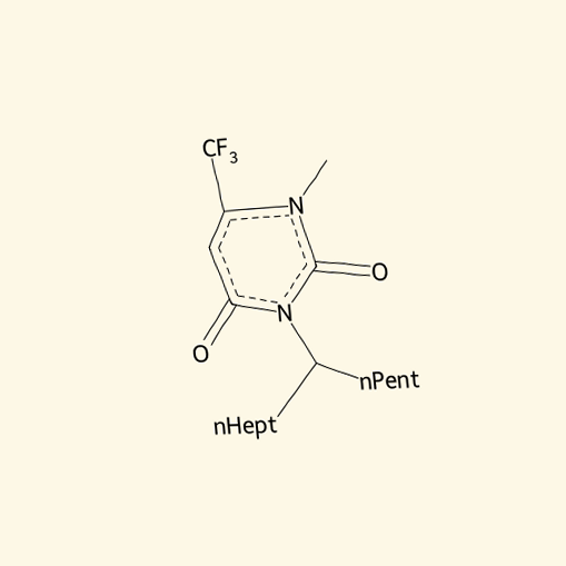 CCCCCCCC(CCCCC)n1c(=O)cc(C(F)(F)F)n(C)c1=O